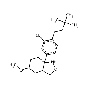 COC1CCC2(c3ccc(CCC(C)(C)C)c(Cl)c3)NOCC2C1